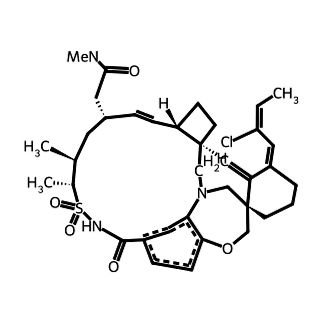 C=C1/C(=C\C(Cl)=C/C)CCC[C@]12COc1ccc3cc1N(C[C@@H]1CC[C@H]1/C=C/[C@@H](CC(=O)NC)C[C@H](C)[C@@H](C)S(=O)(=O)NC3=O)C2